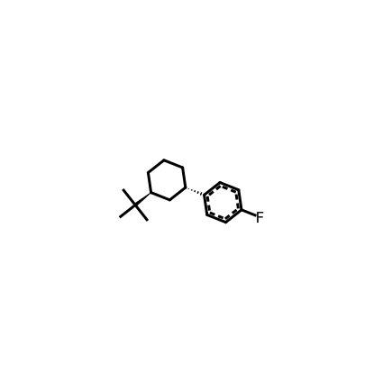 CC(C)(C)[C@H]1CCC[C@H](c2ccc(F)cc2)C1